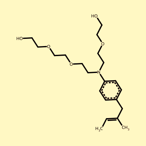 CC=C(C)Cc1ccc(N(CCOCCO)CCOCCOCCO)cc1